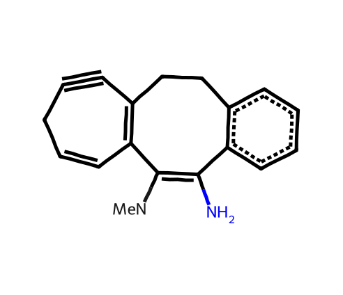 CN/C1=C(\N)c2ccccc2CCC2=C1C=CCC#C2